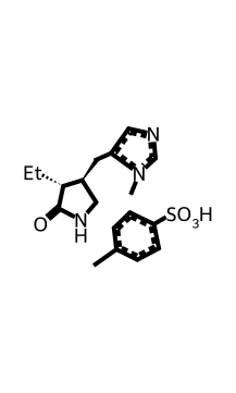 CC[C@H]1C(=O)NC[C@@H]1Cc1cncn1C.Cc1ccc(S(=O)(=O)O)cc1